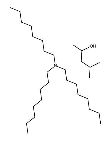 CC(C)CC(C)O.CCCCCCCCN(CCCCCCCC)CCCCCCCC